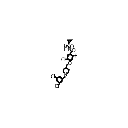 C[C@H](c1cc(Cl)cc(Cl)c1)N1CCC(COc2cc(F)c(C(=O)NS(=O)(=O)C3CC3)cc2Cl)CC1